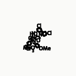 COc1ccc(CN=S(=O)(N[C@@H]2COC[C@H](n3c4ccc(Cl)cc4c4cc(Cl)ccc43)[C@H]2O)c2ccc(OC(F)(F)F)cc2)c(OC)c1